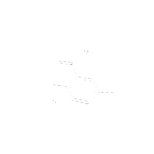 COC(=O)c1cc(Br)ccc1C(=O)[O-].[Na+]